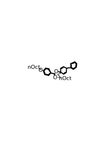 CCCCCCCCOc1ccc(C(=O)OC2(SCCCCCCCC)C=CC(c3ccccc3)C=C2)cc1